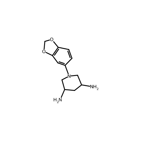 NC1CC(N)CN(c2ccc3c(c2)OCO3)C1